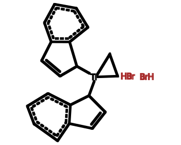 Br.Br.C1=C[CH]([Ti]2([CH]3C=Cc4ccccc43)[CH2][CH2]2)c2ccccc21